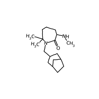 CNC1CCCC(C)(C)N(CC2CC3CCC(C3)C2)C1=O